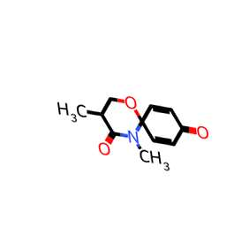 CC1COC2(C=CC(=O)C=C2)N(C)C1=O